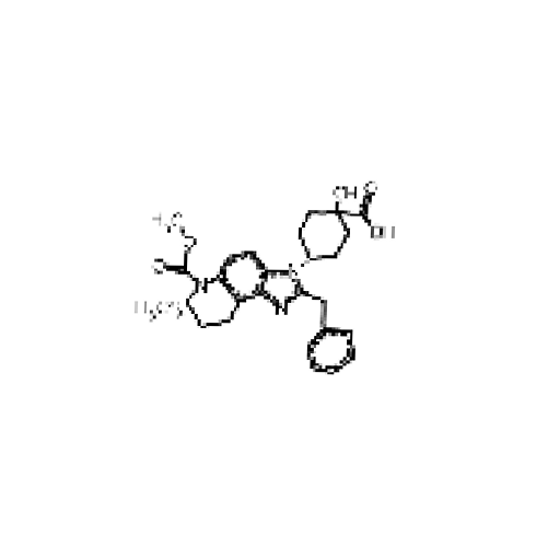 COC(=O)N1c2ccc3c(nc(Cc4ccccc4)n3[C@H]3CC[C@@](C)(C(=O)O)CC3)c2CC[C@@H]1C